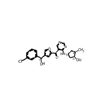 [CH2][C@@H]1C[C@@H](Nc2ncncc2C(=O)c2cc([C@@H](O)c3cccc(Cl)c3)co2)C[C@@H]1O